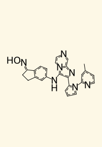 Cc1ccnc(-n2cccc2-c2nc3cnccn3c2Nc2ccc3c(c2)CCC3=NO)c1